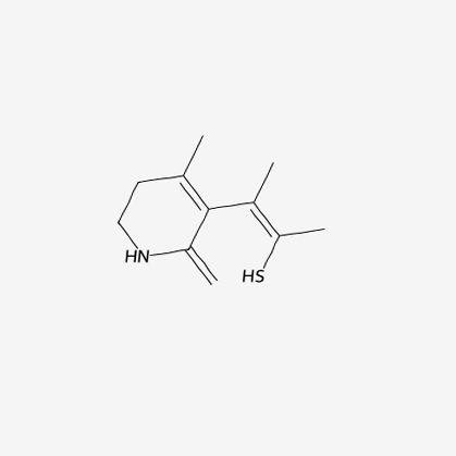 C=C1NCCC(C)=C1/C(C)=C(/C)S